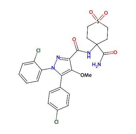 COc1c(C(=O)NC2(C(N)=O)CCS(=O)(=O)CC2)nn(-c2ccccc2Cl)c1-c1ccc(Cl)cc1